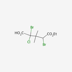 CCOC(=O)C(Br)C(C)(C)C(Cl)(Br)C(=O)O